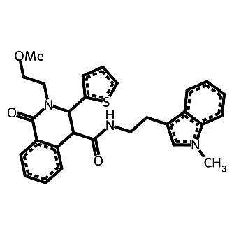 COCCN1C(=O)c2ccccc2C(C(=O)NCCc2cn(C)c3ccccc23)C1c1cccs1